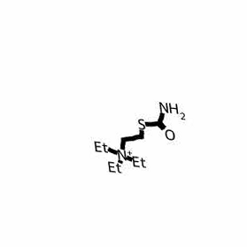 CC[N+](CC)(CC)CCSC(N)=O